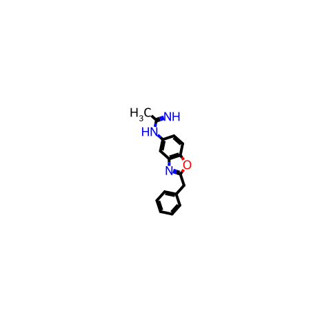 CC(=N)Nc1ccc2oc(Cc3ccccc3)nc2c1